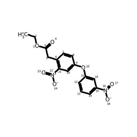 CCOC(=O)Cc1ccc(Oc2cccc([N+](=O)[O-])c2)cc1[N+](=O)[O-]